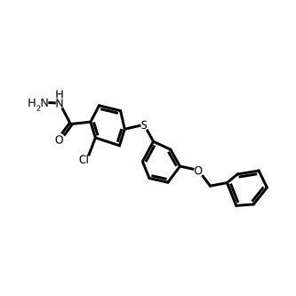 NNC(=O)c1ccc(Sc2cccc(OCc3ccccc3)c2)cc1Cl